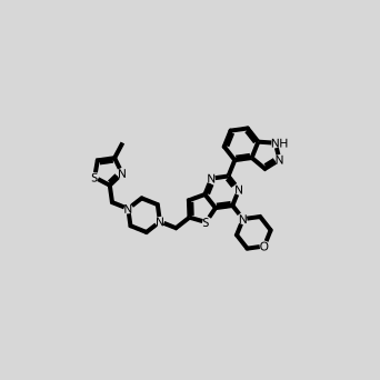 Cc1csc(CN2CCN(Cc3cc4nc(-c5cccc6[nH]ncc56)nc(N5CCOCC5)c4s3)CC2)n1